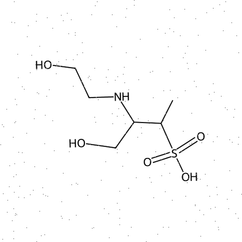 CC(C(CO)NCCO)S(=O)(=O)O